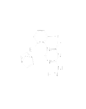 C1=CC2=CC=C1C2.CCc1cccc(CC)c1-n1cnc(NN)nc1=O